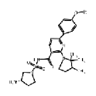 CCOc1ccc(-c2ccc(C(=O)NS(=O)(=O)N3CC[C@H](N)C3)c(N3CCC(C)C3(C)C)n2)cc1